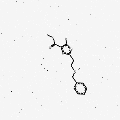 COC(=O)c1nc(CCOCc2ccccc2)oc1C